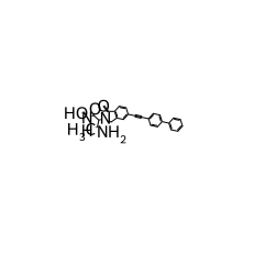 C[C@@H](N)[C@@H](C(=O)NO)N1Cc2cc(C#Cc3ccc(-c4ccccc4)cc3)ccc2C1=O